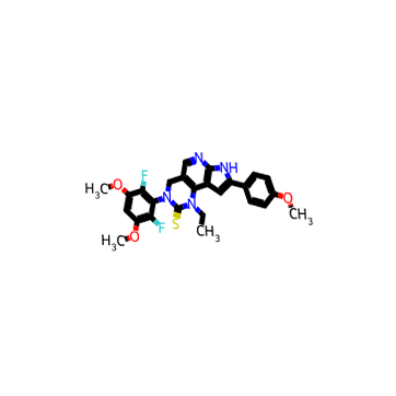 CCN1C(=S)N(c2c(F)c(OC)cc(OC)c2F)Cc2cnc3[nH]c(-c4ccc(OC)cc4)cc3c21